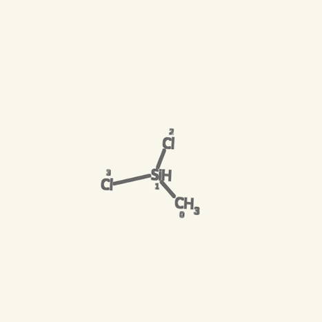 C[SiH](Cl)Cl